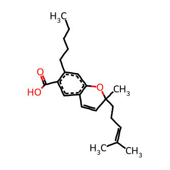 CCCCCc1cc2c(cc1C(=O)O)C=CC(C)(CCC=C(C)C)O2